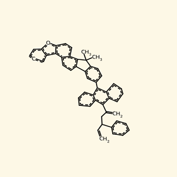 C=CC(CC(=C)c1c2ccccc2c(-c2ccc3c(c2)-c2ccc4c(ccc5oc6ccccc6c54)c2C3(C)C)c2ccccc12)c1ccccc1